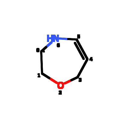 [CH]1COCC=CN1